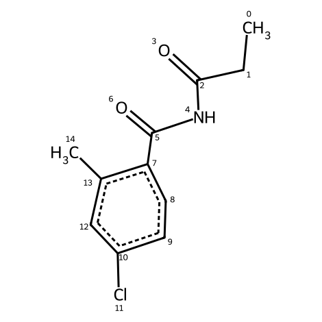 CCC(=O)NC(=O)c1ccc(Cl)cc1C